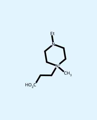 CCN1CC[N+](C)(CCC(=O)O)CC1